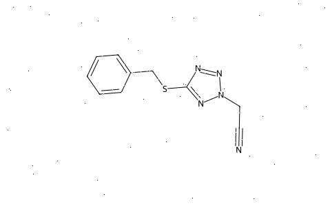 N#CCn1nnc(SCc2ccccc2)n1